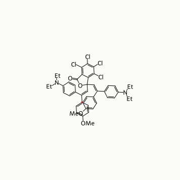 CCN(CC)c1ccc(C(=CC2(C=C(c3ccc(OC)cc3)c3ccc(N(CC)CC)cc3)OC(=O)c3c(Cl)c(Cl)c(Cl)c(Cl)c32)c2ccc(OC)cc2)cc1